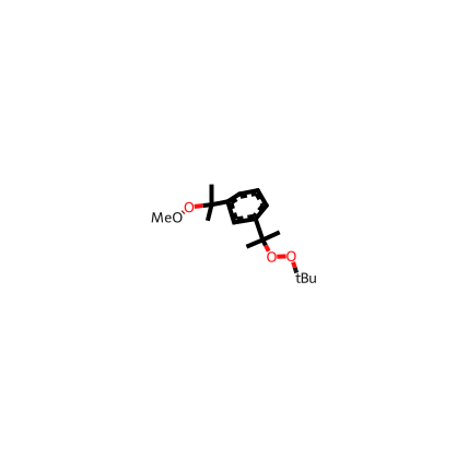 COOC(C)(C)c1cccc(C(C)(C)OOC(C)(C)C)c1